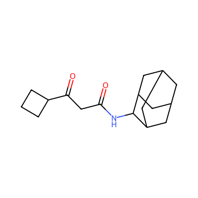 O=C(CC(=O)C1CCC1)NC1C2CC3CC(C2)CC1C3